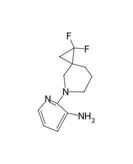 Nc1cccnc1N1CCCC2(C1)CC2(F)F